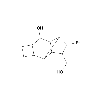 CCC1C(CO)C2C3C(O)C4CCC4C2C13